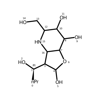 CCC[C@@H](O)C1C(O)OC2C(O)C(O)C(CO)NC21